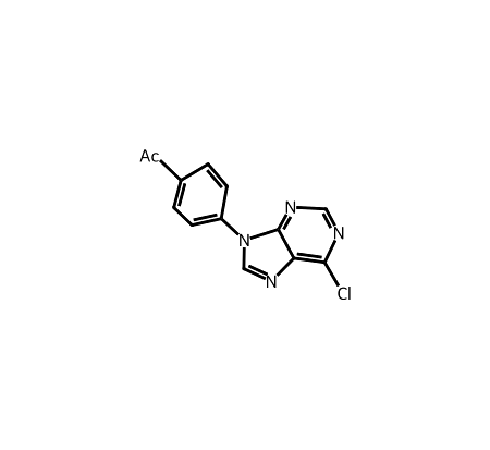 CC(=O)c1ccc(-n2cnc3c(Cl)ncnc32)cc1